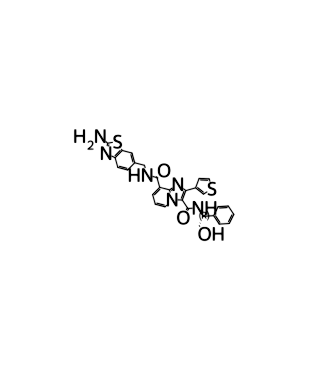 Nc1nc2ccc(CNC(=O)c3cccn4c(C(=O)N[C@@H](CO)c5ccccc5)c(-c5ccsc5)nc34)cc2s1